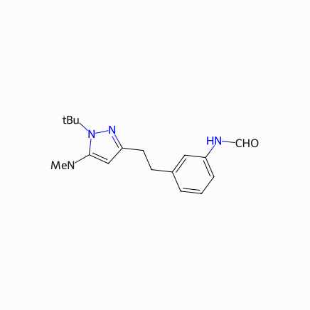 CNc1cc(CCc2cccc(NC=O)c2)nn1C(C)(C)C